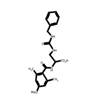 COc1cc(C)c(C(=O)NC(CNC(=O)NCc2ccccc2)C(=O)O)c(C)c1